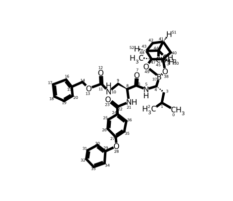 CC(C)C[C@H](NC(=O)[C@H](CNC(=O)OCc1ccccc1)NC(=O)c1ccc(Oc2ccccc2)cc1)B1O[C@@H]2C[C@@H]3C[C@@H](C3(C)C)[C@]2(C)O1